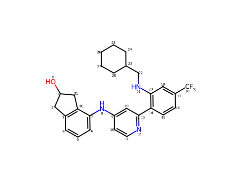 OC1Cc2cccc(Nc3ccnc(-c4ccc(C(F)(F)F)cc4NCC4CCCCC4)c3)c2C1